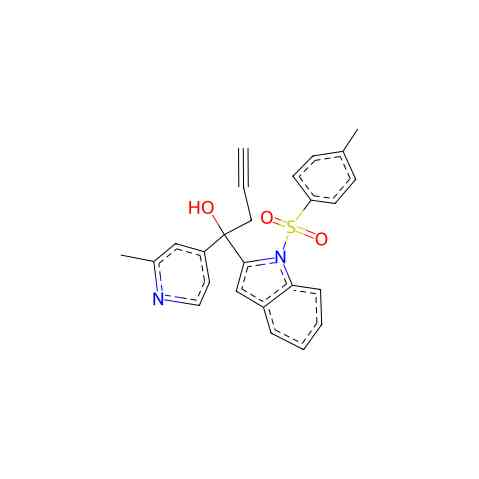 C#CCC(O)(c1ccnc(C)c1)c1cc2ccccc2n1S(=O)(=O)c1ccc(C)cc1